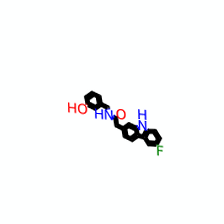 O=C(Cc1ccc2c(c1)[nH]c1ccc(F)cc12)NCc1cccc(O)c1